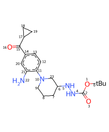 CC(C)(C)OC(=O)NNC1CCCN(c2ccc(C(=O)C3CC3)cc2N)C1